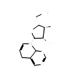 OC[C@H]1O[C@@H](N2C=CCC3=CN=CNC32)[C@H](O)[C@@H]1O